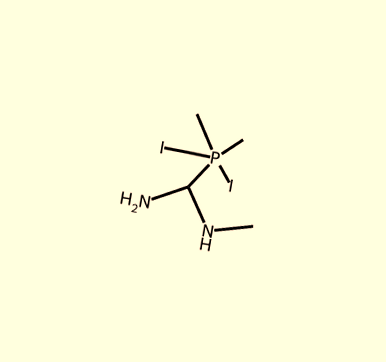 CNC(N)P(C)(C)(I)I